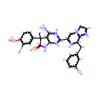 CC1(c2ccc(O)c(F)c2)C(=O)Nc2nc(-c3cn4ccnc4c(Cc4cccc(Cl)c4)n3)nc(N)c21